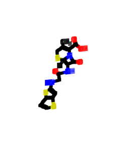 CC1=C(C(=O)O)N2C(=O)C(NC(=O)CNc3cc4sccc4s3)[C@H]2SC1